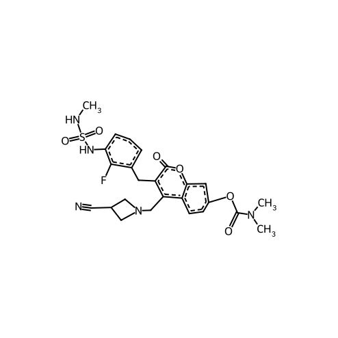 CNS(=O)(=O)Nc1cccc(Cc2c(CN3CC(C#N)C3)c3ccc(OC(=O)N(C)C)cc3oc2=O)c1F